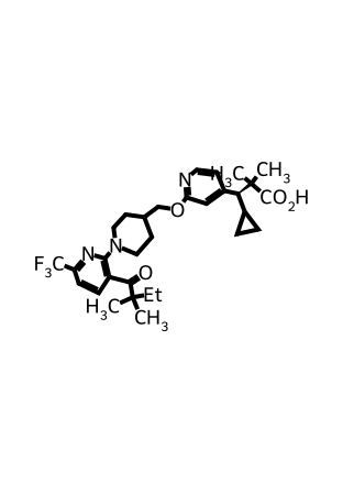 CCC(C)(C)C(=O)c1ccc(C(F)(F)F)nc1N1CCC(COc2cc([C@H](C3CC3)C(C)(C)C(=O)O)ccn2)CC1